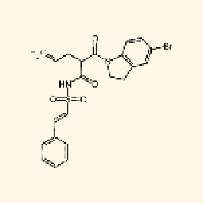 C=CCC(C(=O)NS(=O)(=O)/C=C/c1ccccc1)C(=O)N1CCc2cc(Br)ccc21